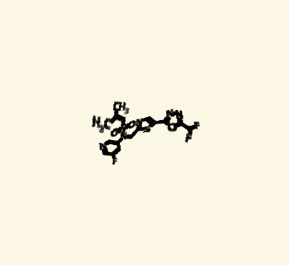 CC(C)CS(=O)(=O)N(Cc1ncc(-c2nnc(C(F)F)o2)s1)c1cncc(F)c1